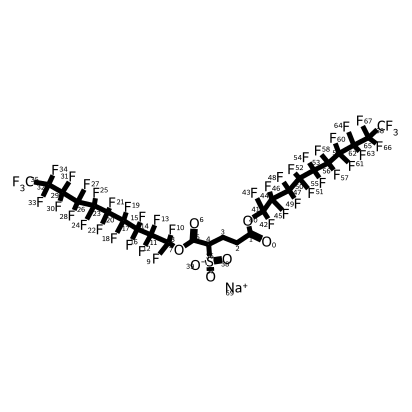 O=C(CCC(C(=O)OC(F)(F)C(F)(F)C(F)(F)C(F)(F)C(F)(F)C(F)(F)C(F)(F)C(F)(F)C(F)(F)C(F)(F)F)S(=O)(=O)[O-])OC(F)(F)C(F)(F)C(F)(F)C(F)(F)C(F)(F)C(F)(F)C(F)(F)C(F)(F)C(F)(F)C(F)(F)F.[Na+]